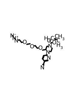 CC(C)(C)OC(=O)N1CCN(c2ccc(C#N)cn2)C(COCCOCCOCCN=[N+]=[N-])C1